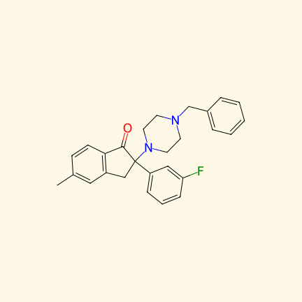 Cc1ccc2c(c1)CC(c1cccc(F)c1)(N1CCN(Cc3ccccc3)CC1)C2=O